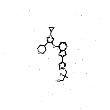 OCC(F)(F)Cn1cc(-c2cc3nccc(Oc4cn(C5CC5)nc4C4CCOCC4)c3s2)cn1